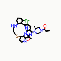 C=CC(=O)N1CCN(c2nc(=O)n3c4nc(c(F)cc24)-c2c(F)cccc2NCCCSc2ccnc(C(C)C)c2-3)[C@@H](C)C1